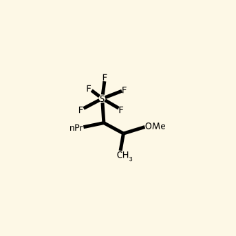 CCCC(C(C)OC)S(F)(F)(F)(F)F